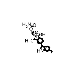 CC1c2cc(-c3c[nH]c4cc(F)ccc34)ccc2S(O)(O)N1CCOC(N)=O